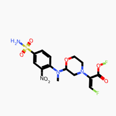 CN(c1ccc(S(N)(=O)=O)cc1[N+](=O)[O-])C1CN(C(=CF)C(=O)OF)CCO1